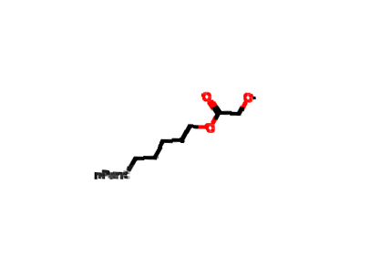 CCCCCCCCCCOC(=O)C[O]